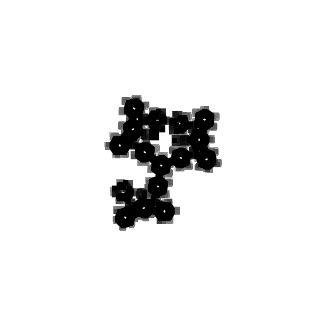 Oc1c2c(cc3c4ccccc4n(-c4cncnc4)c13)c1ccccc1n2-c1ccc(-c2cc(-c3ccc(-n4c5ccccc5c5cc6c7ccccc7n(-c7cncnc7)c6c(O)c54)cc3)cc(-c3ccc(-n4c5ccccc5c5cc6c7ccccc7n(-c7cncnc7)c6c(O)c54)cc3)c2)cc1